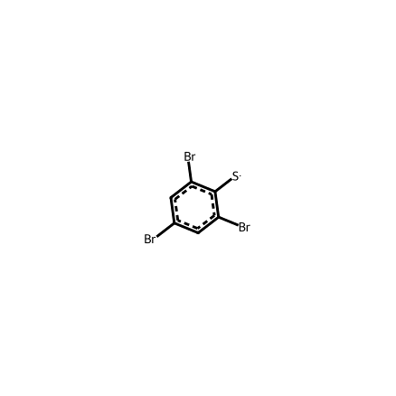 [S]c1c(Br)cc(Br)cc1Br